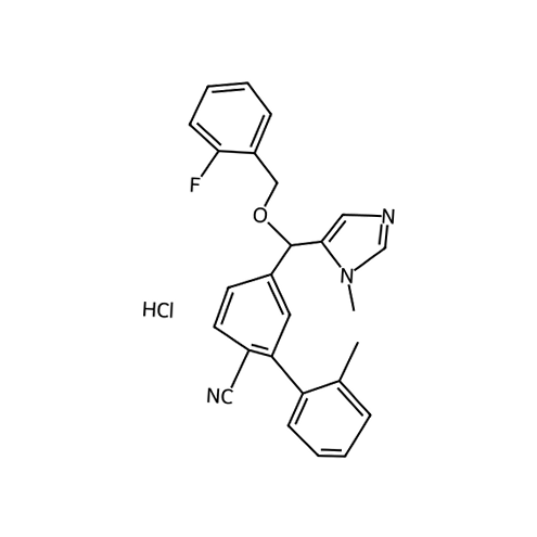 Cc1ccccc1-c1cc(C(OCc2ccccc2F)c2cncn2C)ccc1C#N.Cl